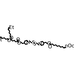 CC/C=C\CCCCOC(CCCC(=O)OCCC1CCN(CCSSCCN2CCC(CCOC(=O)CCCCCCC/C=C\CCCCCCCC)CC2)CC1)OCCCC/C=C\CC